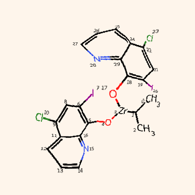 C[CH](C)[Zr]([O]c1c(I)cc(Cl)c2cccnc12)[O]c1c(I)cc(Cl)c2cccnc12